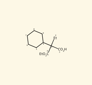 CCOC(=O)C(CC)(C(=O)O)C1CCCCC1